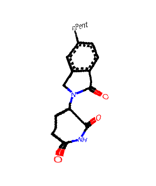 CCCCCc1ccc2c(c1)CN(C1CCC(=O)NC1=O)C2=O